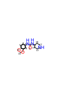 O=C(Nc1ccc2c(c1)OCO2)NC1CCNCC1